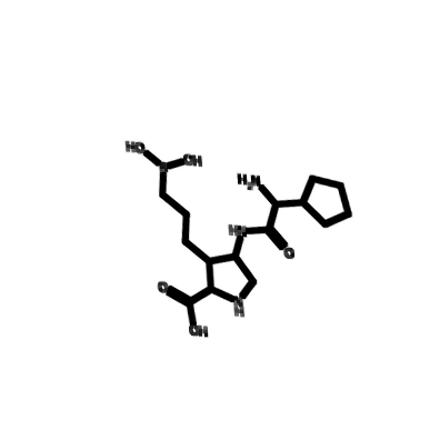 NC(C(=O)NC1CNC(C(=O)O)C1CCCB(O)O)C1CCCC1